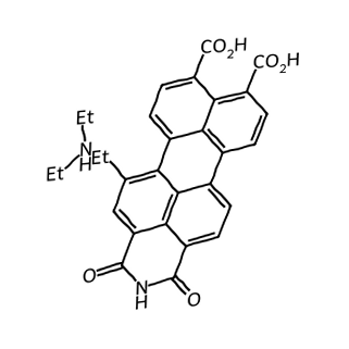 CCNCC.CCc1cc2c3c(ccc4c5ccc(C(=O)O)c6c(C(=O)O)ccc(c1c34)c65)C(=O)NC2=O